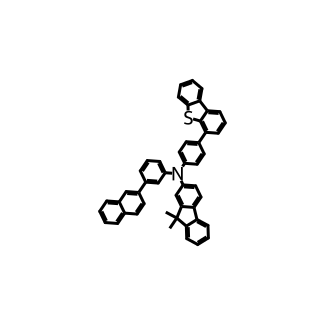 CC1(C)c2ccccc2-c2ccc(N(c3ccc(-c4cccc5c4sc4ccccc45)cc3)c3cccc(-c4ccc5ccccc5c4)c3)cc21